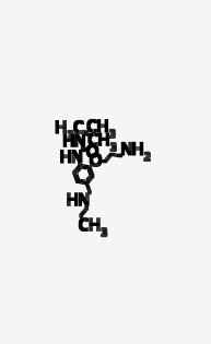 CCCNCc1ccc(NC(=O)NC(C)(C)C)c(OCCCN)c1